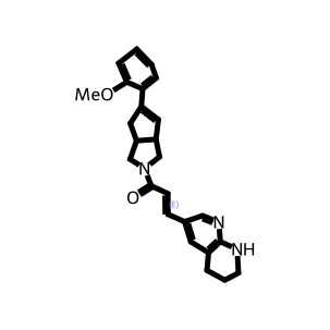 COc1ccccc1C1=CC2CN(C(=O)/C=C/c3cnc4c(c3)CCCN4)CC2C1